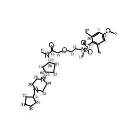 COc1cc(C)c(S(=O)(=O)N(C)CCOCC(=O)N(C)[C@@H]2CC[C@H](N3CCN(C4CCCC4)CC3)C2)c(C)c1